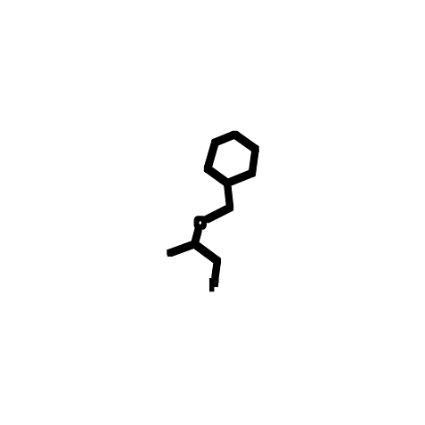 CC(CF)OCC1CCCCC1